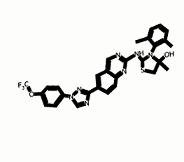 Cc1cccc(C)c1N1C(Nc2ncc3cc(-c4ncn(-c5ccc(OC(F)(F)F)cc5)n4)ccc3n2)SCC1(C)O